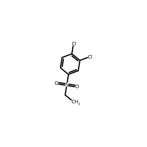 CCS(=O)(=O)c1ccc(Cl)c(Cl)c1